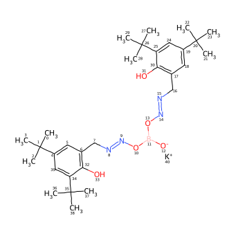 CC(C)(C)c1cc(CN=NOB([O-])ON=NCc2cc(C(C)(C)C)cc(C(C)(C)C)c2O)c(O)c(C(C)(C)C)c1.[K+]